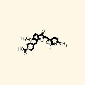 COc1ccc2c(c1CC1CCN(C(=O)O)CC1)O/C(=C\c1n[nH]c3nc(C)ccc13)C2=O